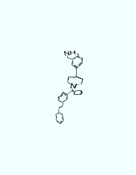 NCc1cccc(C2CCN(C(=O)c3cccc(C=Cc4ccccc4)c3)CC2)c1